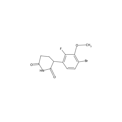 COc1c(Br)ccc(C2CCC(=O)NC2=O)c1F